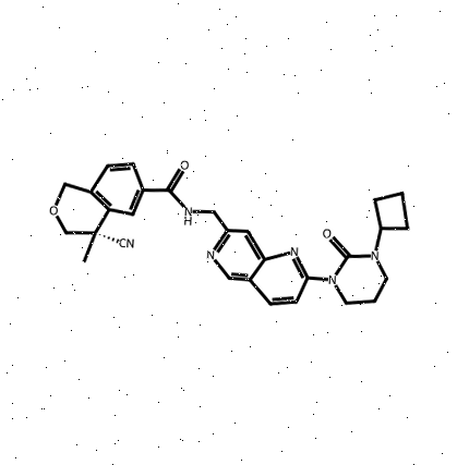 C[C@@]1(C#N)COCc2ccc(C(=O)NCc3cc4nc(N5CCCN(C6CCC6)C5=O)ccc4cn3)cc21